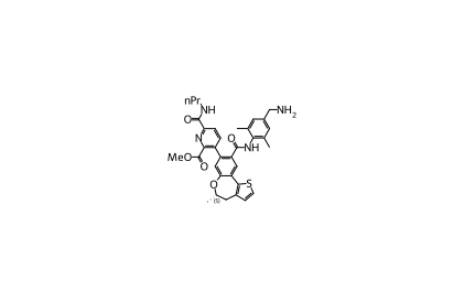 CCCNC(=O)c1ccc(-c2cc3c(cc2C(=O)Nc2c(C)cc(CN)cc2C)-c2sccc2C[C@H](C)O3)c(C(=O)OC)n1